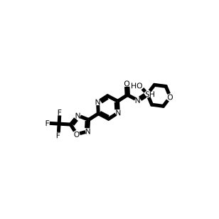 O=C(N=[SH]1(O)CCOCC1)c1cnc(-c2noc(C(F)(F)F)n2)cn1